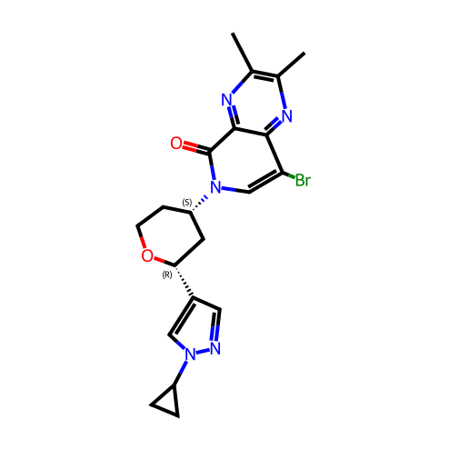 Cc1nc2c(Br)cn([C@H]3CCO[C@@H](c4cnn(C5CC5)c4)C3)c(=O)c2nc1C